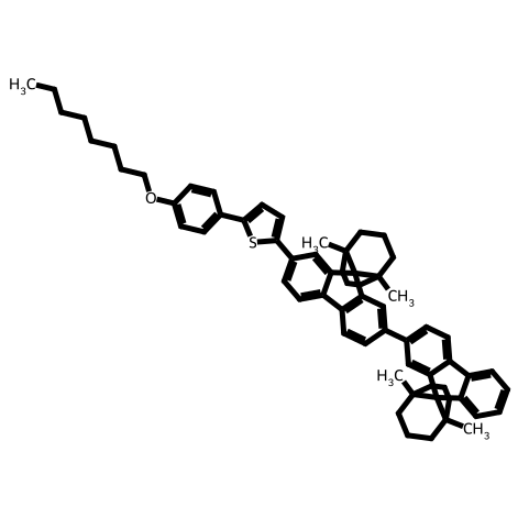 CCCCCCCCOc1ccc(-c2ccc(-c3ccc4c(c3)C3(c5cc(-c6ccc7c(c6)C6(c8ccccc8-7)C7(C)CCCC6(C)CCC7)ccc5-4)C4(C)CCCC3(C)CCC4)s2)cc1